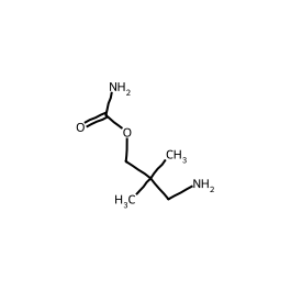 CC(C)(CN)COC(N)=O